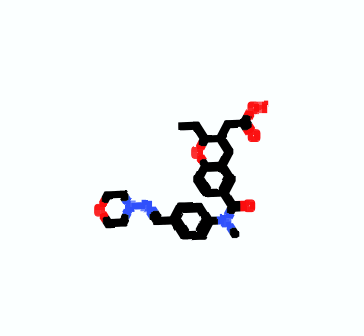 CCC1Oc2ccc(C(=O)N(C)c3ccc(C=NN4CCOCC4)cc3)cc2CC1CC(=O)O